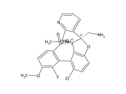 COc1ccc(C(N)=O)c(-c2c(Cl)ccc3c2[C@H](O)[C@@](CN)(c2cccnc2OC)O3)c1F